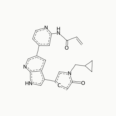 C=CC(=O)Nc1cc(-c2cnc3[nH]cc(-c4ccc(=O)n(CC5CC5)c4)c3c2)ccn1